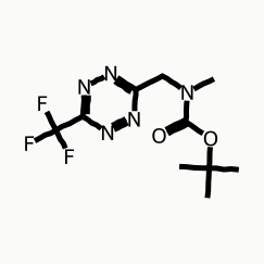 CN(Cc1nnc(C(F)(F)F)nn1)C(=O)OC(C)(C)C